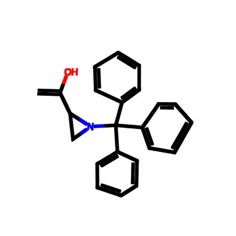 C=C(O)C1CN1C(c1ccccc1)(c1ccccc1)c1ccccc1